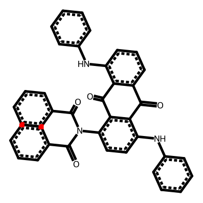 O=C1c2cccc(Nc3ccccc3)c2C(=O)c2c(N(C(=O)c3ccccc3)C(=O)c3ccccc3)ccc(Nc3ccccc3)c21